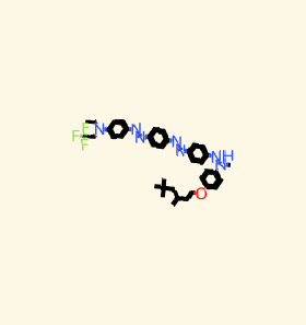 CCN(CC(F)(F)F)c1ccc(/N=N/c2ccc(/N=N/c3ccc(NN(C)c4ccc(OCCC(C)CC(C)(C)C)cc4)cc3)cc2)cc1